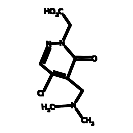 CN(C)Cc1c(Cl)cnn(CC(=O)O)c1=O